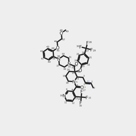 C/C=C/CC1N(C(=O)c2cnccc2C(F)(F)F)CCCC1(Oc1ccc(C(F)(F)F)cc1)C(=O)N1CCN(c2ccccc2OCCOC)CC1